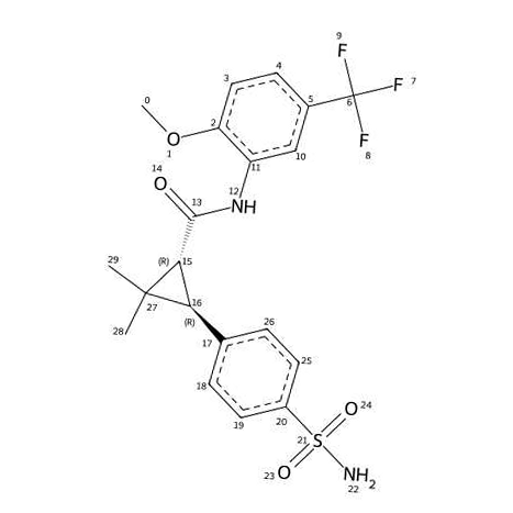 COc1ccc(C(F)(F)F)cc1NC(=O)[C@@H]1[C@@H](c2ccc(S(N)(=O)=O)cc2)C1(C)C